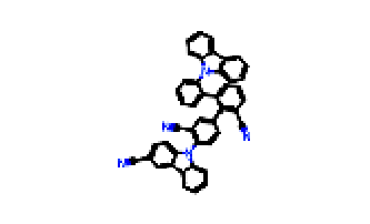 N#Cc1ccc2c(c1)c1ccccc1n2-c1ccc(-c2c(C#N)cccc2-c2ccccc2-n2c3ccccc3c3ccccc32)cc1C#N